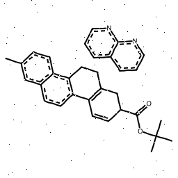 Cc1ccc2c3c(ccc2c1)C1=C(CC3)CC(C(=O)OC(C)(C)C)C=C1.c1cnc2ncccc2c1